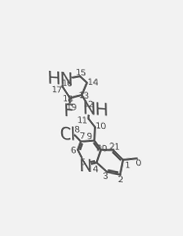 Cc1ccc2ncc(Cl)c(CCNC3CCNCC3F)c2c1